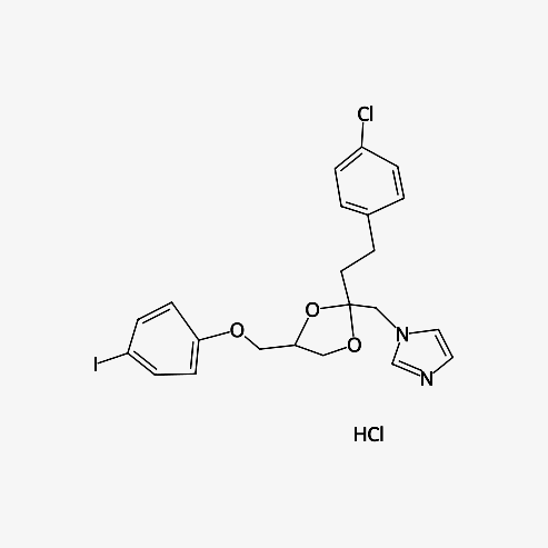 Cl.Clc1ccc(CCC2(Cn3ccnc3)OCC(COc3ccc(I)cc3)O2)cc1